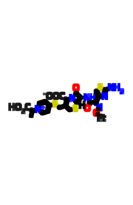 CCO/N=C(\C(=O)N[C@@H]1C(=O)N2C(C(=O)[O-])=C(CSc3cc[n+](C(C)C(=O)O)cc3)CS[C@H]12)c1csc(N)n1